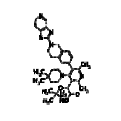 Cc1nc(C)c(C(OC(C)(C)C)C(=O)O)c(N2CCC(C)(C)CC2)c1-c1ccc2c(c1)CCN(c1nc3cnccc3s1)C2